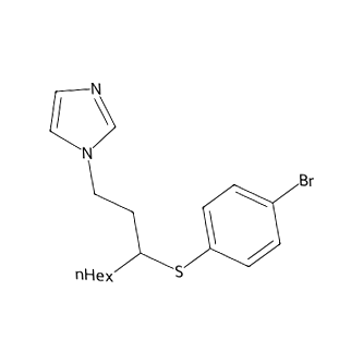 CCCCCCC(CCn1ccnc1)Sc1ccc(Br)cc1